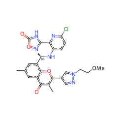 COCCn1cc(-c2oc3c([C@@H](C)Nc4ccc(Cl)nc4-c4noc(=O)[nH]4)cc(C)cc3c(=O)c2C)cn1